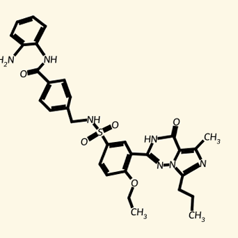 CCCc1nc(C)c2c(=O)[nH]c(-c3cc(S(=O)(=O)NCc4ccc(C(=O)Nc5ccccc5N)cc4)ccc3OCC)nn12